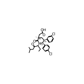 CCC(C(=O)CC(C)C)N1C(=O)[C@@](C)(CC(=O)O)C[C@@H](c2cccc(Cl)c2)[C@H]1c1ccc(Cl)cc1